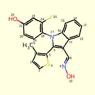 Cc1ccsc1-c1c(C=NO)c2ccccc2n1-c1ccc(O)cc1F